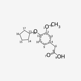 COc1cc(CC(=O)O)ccc1OC1CCCC1